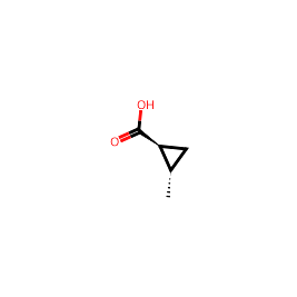 C[C@H]1C[C@@H]1C(=O)O